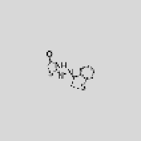 O=C1CSC(=NN=C2CCSc3ccccc32)N1